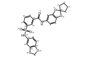 O=C(Nc1ccc2c(c1)OC1(CCCC1)O2)c1cccc(S(=O)(=O)Nc2ccc3c(c2)OCO3)c1